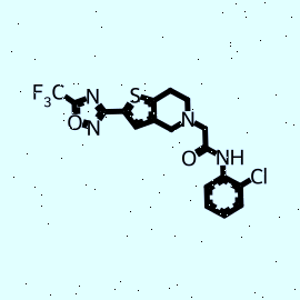 O=C(CN1CCc2sc(-c3noc(C(F)(F)F)n3)cc2C1)Nc1ccccc1Cl